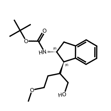 COCCC(CO)[C@@H]1c2ccccc2C[C@H]1NC(=O)OC(C)(C)C